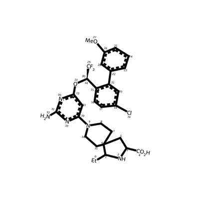 CCC1NC(C(=O)O)CC12CCN(c1cc(O[C@H](c3ccc(Cl)cc3-c3cccc(OC)c3)C(F)(F)F)nc(N)n1)CC2